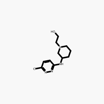 OCCN1CCCC(Nc2ccc(Cl)nn2)C1